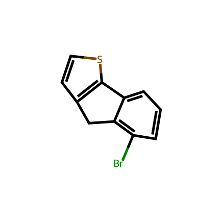 Brc1cccc2c1Cc1ccsc1-2